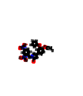 COc1ccc(C2CC(=O)N(Cc3ccc([N+](=O)[O-])cc3[N+](=O)[O-])C2)cc1OC1CCCC1